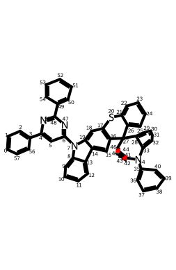 c1ccc(-c2cc(-n3c4ccccc4c4cc5c(cc43)Sc3ccccc3C53c4ccccc4N(c4ccccc4)c4ccccc43)nc(-c3ccccc3)n2)cc1